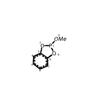 COP1Oc2ccccc2O1